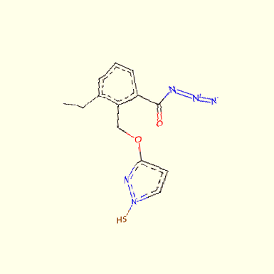 CCc1cccc(C(=O)N=[N+]=[N-])c1COc1ccn(S)n1